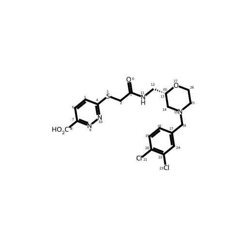 O=C(CSc1ccc(C(=O)O)nn1)NC[C@H]1CN(Cc2ccc(Cl)c(Cl)c2)CCO1